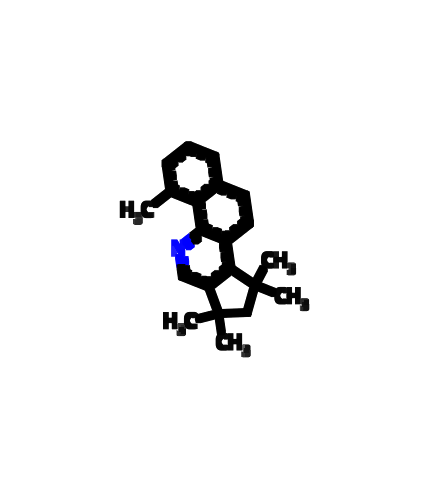 Cc1cccc2ccc3c4c(cnc3c12)C(C)(C)CC4(C)C